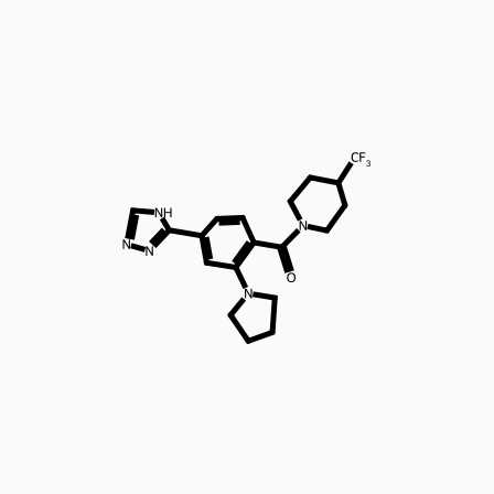 O=C(c1ccc(-c2nnc[nH]2)cc1N1CCCC1)N1CCC(C(F)(F)F)CC1